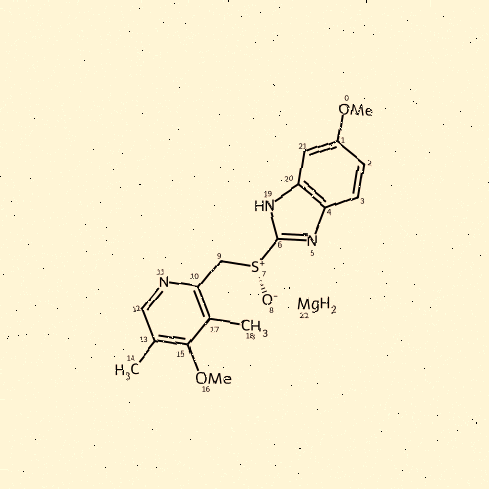 COc1ccc2nc([S@+]([O-])Cc3ncc(C)c(OC)c3C)[nH]c2c1.[MgH2]